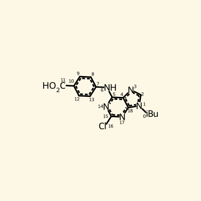 CCC(C)n1cnc2c(Nc3ccc(C(=O)O)cc3)nc(Cl)nc21